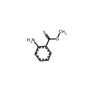 COC(=S)c1ccccc1N